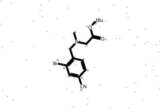 CN(CC(=O)OC(C)(C)C)Cc1ccc(C#N)cc1Br